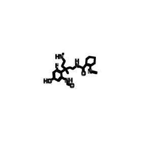 C=NC1=C(C(=O)NCCC(C)(CCNC)c2c(F)cc(O)cc2NC=O)CCCC1